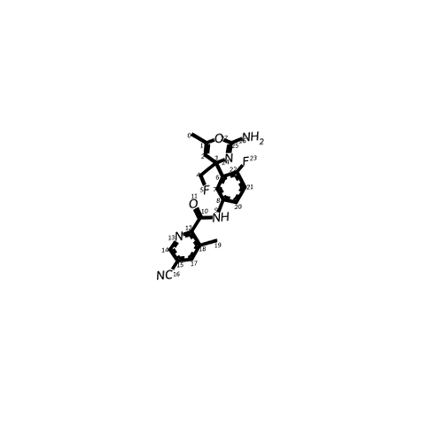 CC1=CC(CF)(c2cc(NC(=O)c3ncc(C#N)cc3C)ccc2F)N=C(N)O1